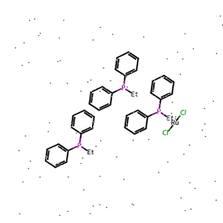 CCP(c1ccccc1)c1ccccc1.CCP(c1ccccc1)c1ccccc1.CCP(c1ccccc1)c1ccccc1.[Cl][Ru][Cl]